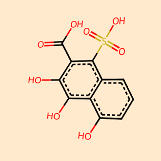 O=C(O)c1c(O)c(O)c2c(O)cccc2c1S(=O)(=O)O